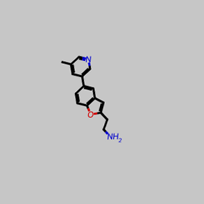 Cc1cncc(-c2ccc3oc(CCN)cc3c2)c1